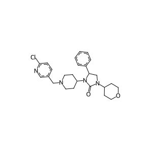 O=C1N(C2CCOCC2)CC(c2ccccc2)N1C1CCN(Cc2ccc(Cl)nc2)CC1